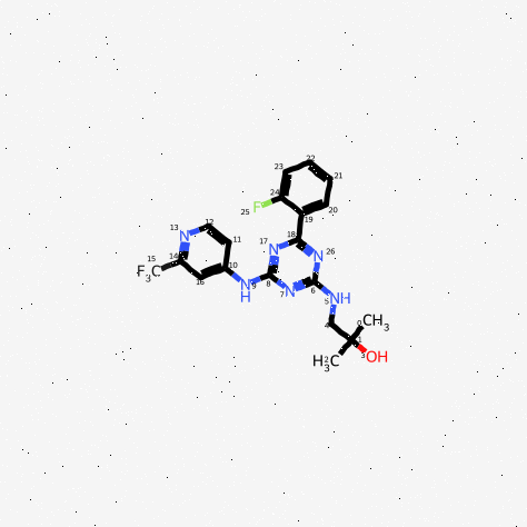 CC(C)(O)CNc1nc(Nc2ccnc(C(F)(F)F)c2)nc(-c2ccccc2F)n1